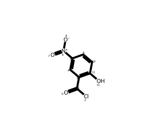 O=C(Cl)c1cc([N+](=O)[O-])ccc1O